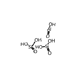 O=[Si](O)O.O=[Si](O)O.[O]=[Al][OH]